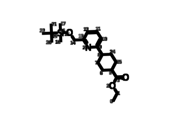 CCOC(=O)C1CCC(c2cccc(CO[Si](C)(C)C(C)(C)C)n2)CC1